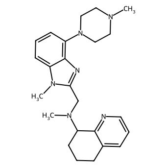 CN1CCN(c2cccc3c2nc(CN(C)C2CCCc4cccnc42)n3C)CC1